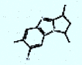 CC1CC(C)n2c1nc1cc(F)c(Br)cc12